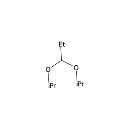 C[CH]C(OC(C)C)OC(C)C